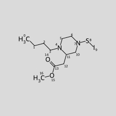 CCCCN1CCN(SI)CC1CC(=O)OC